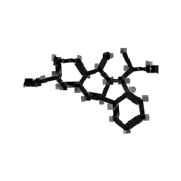 CSc1ncc2c(=O)n3c(nc2n1)c1ccccc1n3C(C)C#N